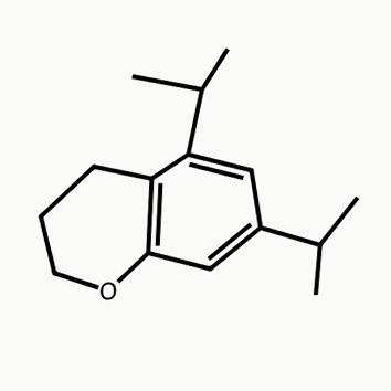 CC(C)c1cc2c(c(C(C)C)c1)CCCO2